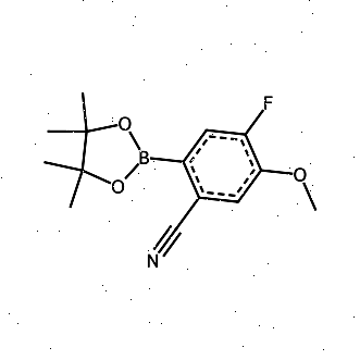 COc1cc(C#N)c(B2OC(C)(C)C(C)(C)O2)cc1F